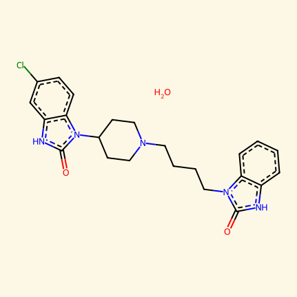 O.O=c1[nH]c2ccccc2n1CCCCN1CCC(n2c(=O)[nH]c3cc(Cl)ccc32)CC1